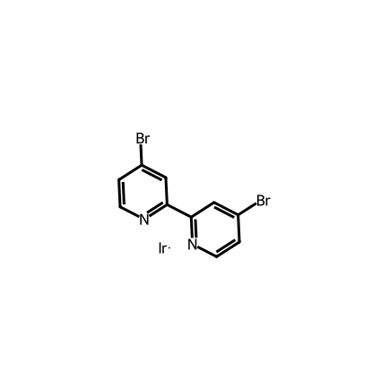 Brc1ccnc(-c2cc(Br)ccn2)c1.[Ir]